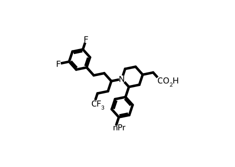 CCCc1ccc(C2CC(CC(=O)O)CCN2C(CCc2cc(F)cc(F)c2)CCC(F)(F)F)cc1